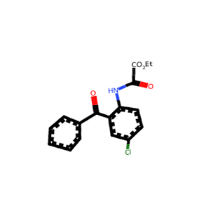 CCOC(=O)C(=O)Nc1ccc(Cl)cc1C(=O)c1ccccc1